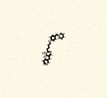 O=c1[nH]c(CCCCOc2ccc(CN3CCCCC3)cc2)ncc1Cc1cccnc1